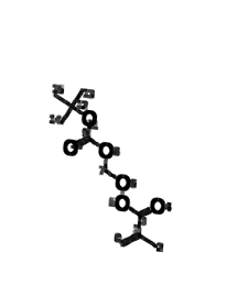 C=C(C)C(=O)OOCOC(=O)OC(C)(C)C